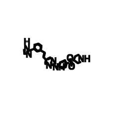 O=S(=O)(c1ccc(Nc2ncc(C=Cc3cccc(-c4ncc[nH]4)c3)cn2)cc1)C1CCNCC1